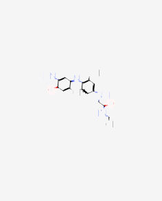 CCNC(=O)CNc1ccc(N=C2C=C(N)C(=O)C=C2C)c(C)c1